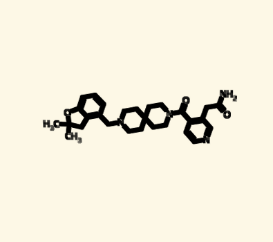 CC1(C)Cc2c(CN3CCC4(CC3)CCN(C(=O)c3ccncc3CC(N)=O)CC4)cccc2O1